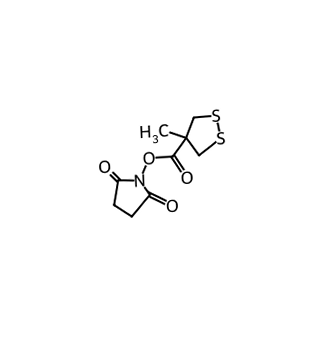 CC1(C(=O)ON2C(=O)CCC2=O)CSSC1